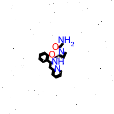 NCC(=O)N1CC[C@H]1C(=O)NC(Cc1ccccn1)c1ccccc1